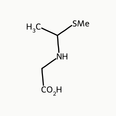 CSC(C)NCC(=O)O